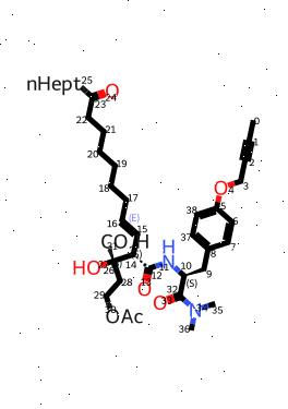 CC#CCOc1ccc(C[C@H](NC(=O)[C@@H](/C=C/CCCCCCC(=O)CCCCCCC)[C@@](O)(CCOC(C)=O)C(=O)O)C(=O)N(C)C)cc1